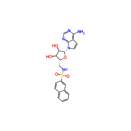 Nc1ncnc2c1ccn2[C@@H]1O[C@H](CNS(=O)(=O)c2ccc3ccccc3c2)[C@@H](O)[C@H]1O